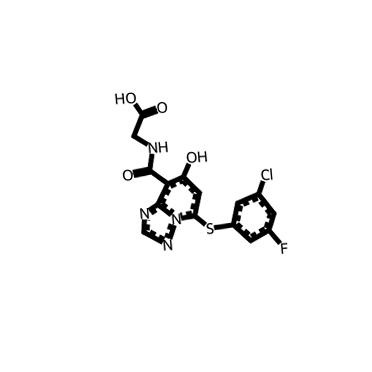 O=C(O)CNC(=O)c1c(O)cc(Sc2cc(F)cc(Cl)c2)n2ncnc12